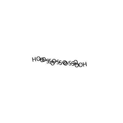 O=C(CSCSCCOOCCSCSCCOC(=O)CSCSCCOOCCO)OCCO